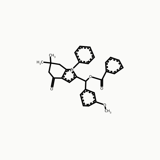 COc1cccc(C(OC(=O)c2ccccc2)c2cc3c(n2-c2ccccc2)CC(C)(C)CC3=O)c1